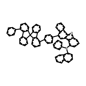 c1ccc(-c2cccc3c2-c2ccccc2C32c3ccccc3-c3c(-c4ccc(-c5cc6c(oc7cccc(N(c8ccccc8)c8cccc9ccccc89)c76)c6ccccc56)cc4)cccc32)cc1